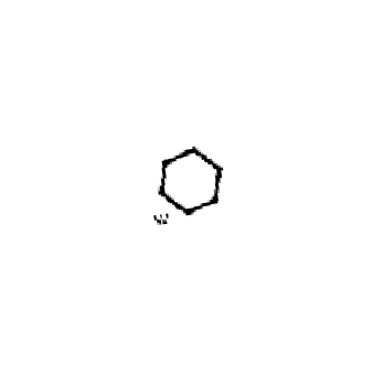 C1CCCCC1.[W]